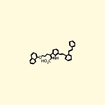 O=C(O)c1[nH]c2c(C=Cc3ccccc3C=Cc3ccccc3)cccc2c1CCCOc1cccc2ccccc12